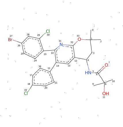 CC1(C)CC(NC(=O)C(C)(C)O)c2cc(-c3ccc(Cl)cc3)c(-c3ccc(Br)cc3Cl)nc2O1